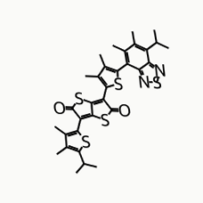 Cc1c(C2=C3SC(=O)C(c4sc(C(C)C)c(C)c4C)=C3SC2=O)sc(-c2c(C)c(C)c(C(C)C)c3nsnc23)c1C